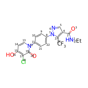 CCNC(=O)c1cnn(-c2ccc(-n3ccc(O)c(Cl)c3=O)cc2)c1C(F)(F)F